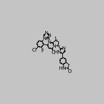 C[C@H]1C[C@@H](c2ncc(-c3ccc4c(c3)CC(=O)N4)[nH]2)n2c1nc(-c1c(-n3cnnn3)ccc(Cl)c1F)cc2=O